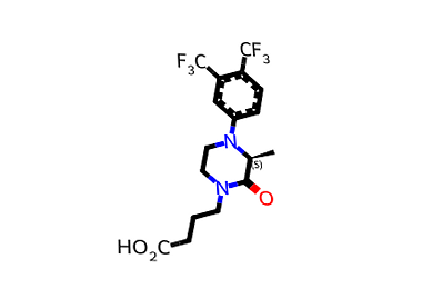 C[C@H]1C(=O)N(CCCC(=O)O)CCN1c1ccc(C(F)(F)F)c(C(F)(F)F)c1